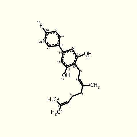 CC(C)=CCC/C(C)=C/Cc1c(O)cc(-c2ccc(F)nc2)cc1O